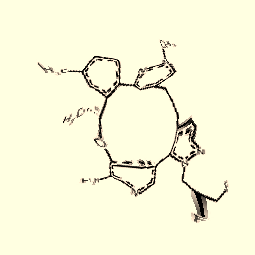 Cc1ccc2c(c1)[C@@H](C)Oc1cc(cnc1N)-c1c(cnn1CC(F)F)Cc1cn(C)nc1-2